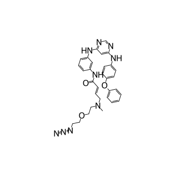 CN(C/C=C/C(=O)Nc1cccc(Nc2cc(Nc3ccc(Oc4ccccc4)cc3)ncn2)c1)CCOCCN=[N+]=[N-]